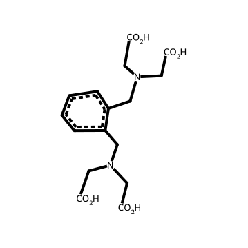 O=C(O)CN(CC(=O)O)Cc1ccccc1CN(CC(=O)O)CC(=O)O